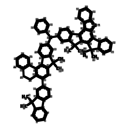 CC1(C)c2ccccc2-c2ccc(-c3cc4c(c5c3CCc3ccccc3-5)-c3ccc(N(c5ccccc5)c5ccc6c(c5)C(C)(C)c5c7c(c8oc9ccccc9c8c5-6)-c5ccccc5C7(C)C)cc3C4(C)C)cc21